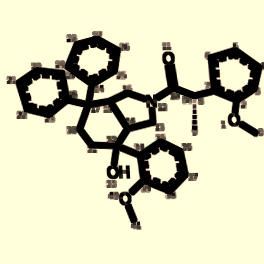 COc1ccccc1[C@H](C)C(=O)N1CC2C(C1)C(c1ccccc1)(c1ccccc1)CCC2(O)c1ccccc1OC